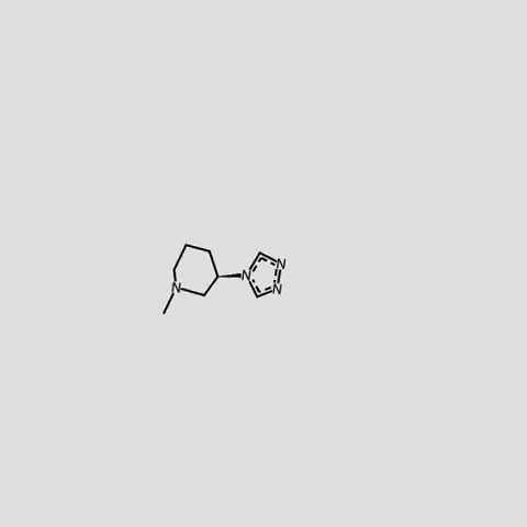 CN1CCC[C@@H](n2cnnc2)C1